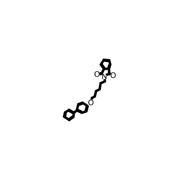 O=C1c2ccccc2C(=O)N1CCCCCCOc1ccc(-c2ccccc2)cc1